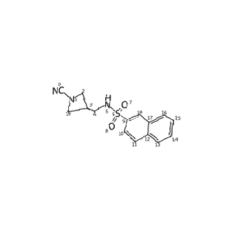 N#CN1CC(CNS(=O)(=O)c2ccc3ccccc3c2)C1